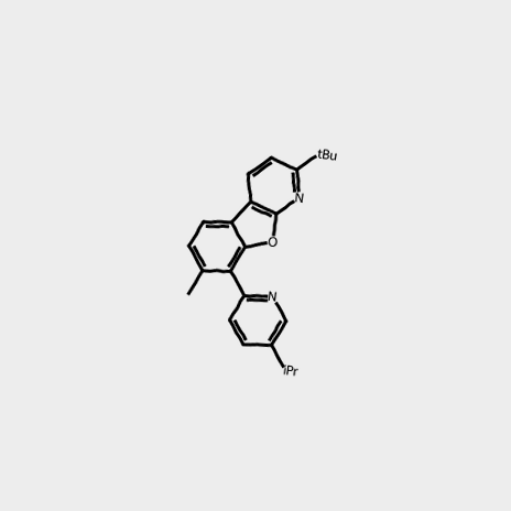 Cc1ccc2c(oc3nc(C(C)(C)C)ccc32)c1-c1ccc(C(C)C)cn1